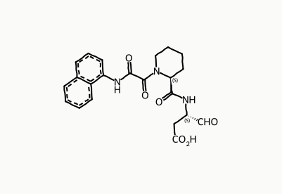 O=C[C@H](CC(=O)O)NC(=O)[C@@H]1CCCCN1C(=O)C(=O)Nc1cccc2ccccc12